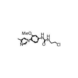 COc1cc(NC(=O)NCCCl)ccc1-n1cnc(C)c1